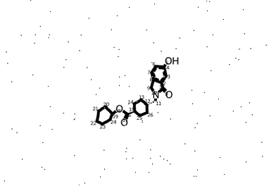 O=C1c2cc(O)ccc2CN1C[C@H]1CC[C@H](C(=O)OC2CCCCC2)CC1